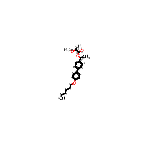 CCCCCCOc1ccc(-c2ccc(C(C)OC(=O)C(C)OC)cc2)cc1